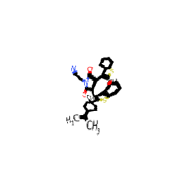 Cc1sc2ccccc2c1C1=C(c2c(C3(C)CCC(C(C)C)CC3)sc3ccccc23)C(=O)N(CC#N)C1=O